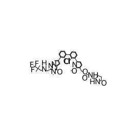 COc1nc(-c2cccc(-c3cccc(-c4cc5c(=O)n(C)c(CNCC(C)(C)C(F)(F)F)nn5c4)c3Cl)c2Cl)ccc1COC(=O)NCC1CCC(=O)N1